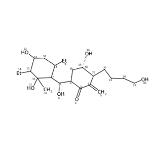 C=C1C(=O)C(C(O)C2C(CC)CC(O)C(CC)C2(C)O)C[C@H](O)C1CCCCO